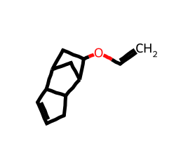 C=COC1CC2CC1C1CC=CC21